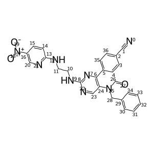 N#Cc1ccc(-c2nc(NCCNc3ccc([N+](=O)[O-])cn3)ncc2N(C=O)Cc2ccccc2)cc1